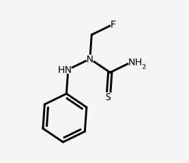 NC(=S)N(CF)Nc1ccccc1